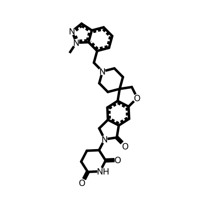 Cn1ncc2cccc(CN3CCC4(CC3)COc3cc5c(cc34)CN(C3CCC(=O)NC3=O)C5=O)c21